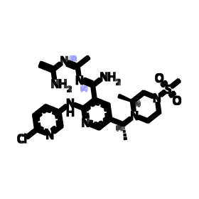 C=C(N)/N=C(C)\N=C(/N)c1cc([C@@H](C)N2CCN(S(C)(=O)=O)C[C@@H]2C)cnc1Nc1ccc(Cl)nc1